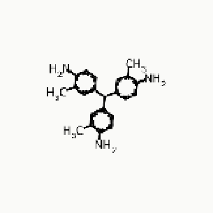 Cc1cc(C(c2ccc(N)c(C)c2)c2ccc(N)c(C)c2)ccc1N